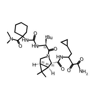 CN(C)C(=O)C1(NC(=O)N[C@H](C(=O)N2C[C@H]3[C@@H]([C@H]2C(=O)NC(CC2CC2)C(=O)C(N)=O)C3(C)C)C(C)(C)C)CCCCC1